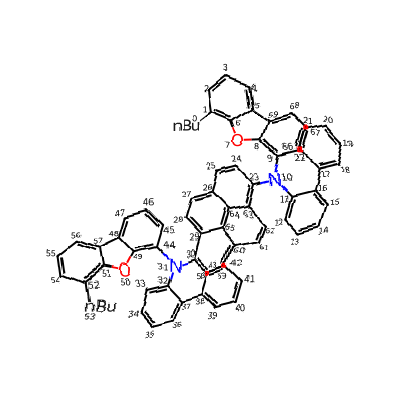 CCCCc1cccc2c1oc1c(N(c3ccccc3-c3ccccc3)c3ccc4ccc5c(N(c6ccccc6-c6ccccc6)c6cccc7c6oc6c(CCCC)cccc67)ccc6ccc3c4c65)cccc12